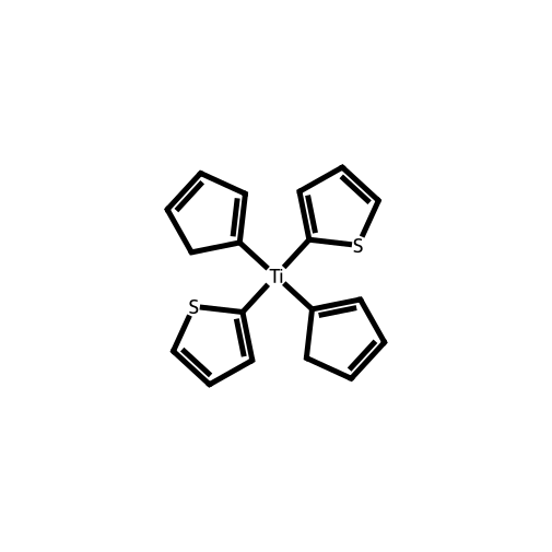 C1=CC[C]([Ti]([C]2=CC=CC2)([c]2cccs2)[c]2cccs2)=C1